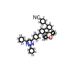 N#Cc1ccc(-c2cccc3c2-c2ccc(-c4ccc(-c5cc(-c6ccccc6)nc(-c6ccccc6)n5)cc4)cc2C32c3ccccc3Oc3ccccc32)cc1